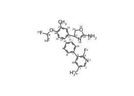 Cc1cnc(F)c(-c2cccc([C@]3(c4ccc(OC(F)F)c(C)c4)COC(N)=N3)c2)c1